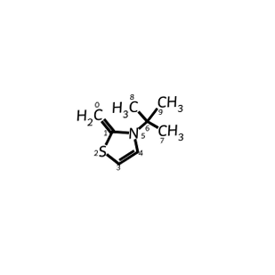 C=C1SC=CN1C(C)(C)C